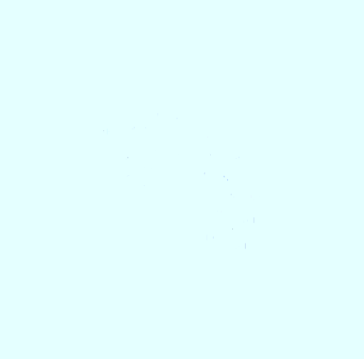 CC(C)(C)OC(=O)N1CC(Oc2ccc(C(F)(F)F)c(C3CC3)c2)C1